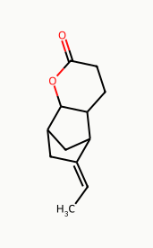 C/C=C1\CC2CC1C1CCC(=O)OC21